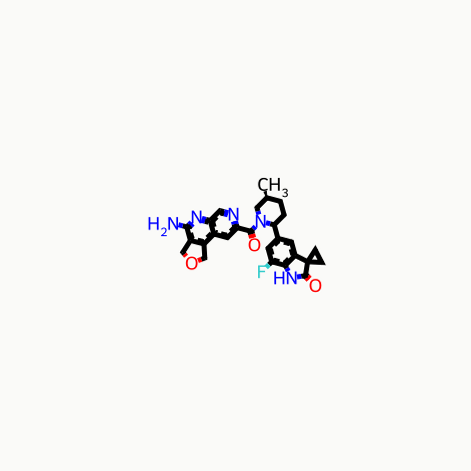 C[C@H]1CCC(c2cc(F)c3c(c2)C2(CC2)C(=O)N3)N(C(=O)c2cc3c4c(c(N)nc3cn2)COC4)C1